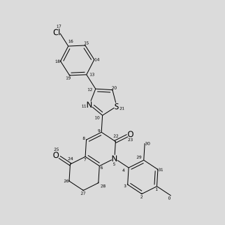 Cc1ccc(-n2c3c(cc(-c4nc(-c5ccc(Cl)cc5)cs4)c2=O)C(=O)CCC3)c(C)c1